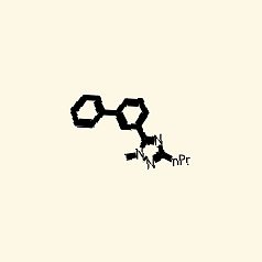 CCCc1nc(-c2cccc(-c3ccccc3)c2)n(C)n1